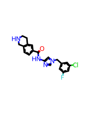 O=C(Nc1cn(Cc2cc(F)cc(Cl)c2)cn1)c1ccc2c(c1)CCNC2